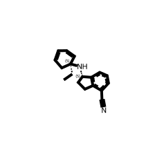 CC[C@@]1(N[C@H]2CCc3c(C#N)cccc32)C=CC=CC1